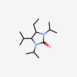 CCC1C(C(C)C)N(C(C)C)C(=O)N1C(C)C